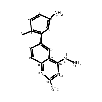 Cc1ccc(N)cc1-c1ccc2nc(N)nc(NN)c2c1